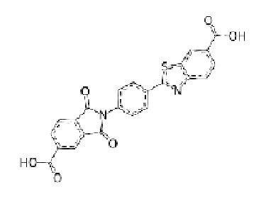 O=C(O)c1ccc2c(c1)C(=O)N(c1ccc(-c3nc4ccc(C(=O)O)cc4s3)cc1)C2=O